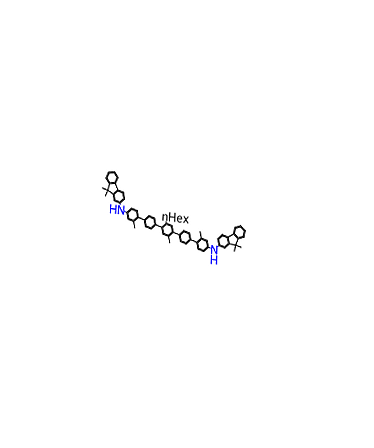 CCCCCCc1cc(-c2ccc(-c3ccc(Nc4ccc5c(c4)C(C)(C)c4ccccc4-5)cc3C)cc2)c(C)cc1-c1ccc(-c2ccc(Nc3ccc4c(c3)C(C)(C)c3ccccc3-4)cc2C)cc1